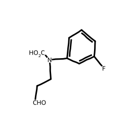 O=CCCN(C(=O)O)c1cccc(F)c1